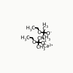 CCOC(C)(C)[O-].CCOC(C)(C)[O-].[Ca+2]